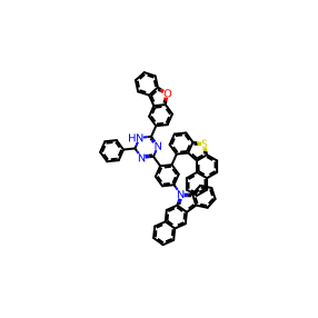 c1ccc(C2N=C(c3ccc(-n4c5ccccc5c5cc6ccccc6cc54)cc3-c3cccc4sc5ccc6ccccc6c5c34)N=C(c3ccc4oc5ccccc5c4c3)N2)cc1